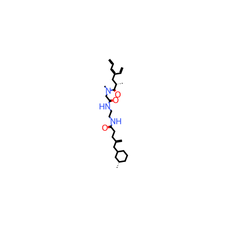 C=C/C=C(\C=C)C[C@H](C)C(=O)N(C)CC(=O)NCCNC(=O)CCC(=C)CC1CCC[C@H](C)C1